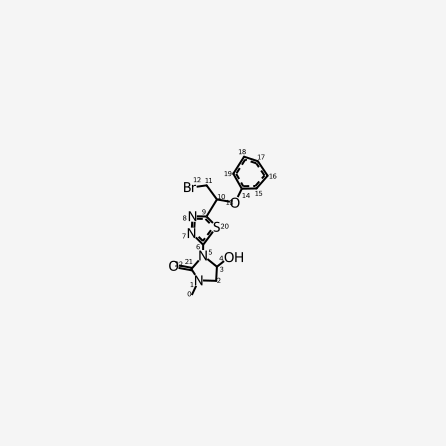 CN1CC(O)N(c2nnc(C(CBr)Oc3ccccc3)s2)C1=O